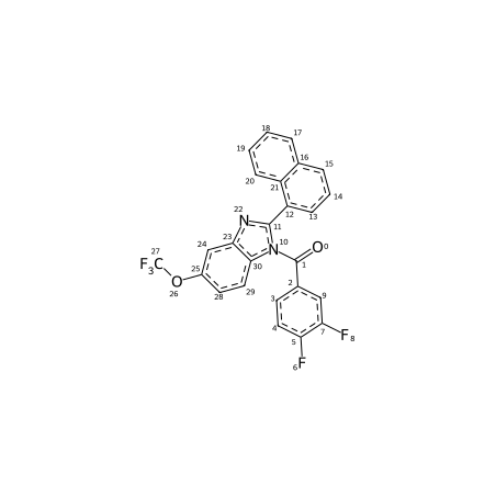 O=C(c1ccc(F)c(F)c1)n1c(-c2cccc3ccccc23)nc2cc(OC(F)(F)F)ccc21